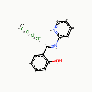 Oc1ccccc1C=Nc1ccccn1.[Cl-].[Cl-].[Cl-].[Cl-].[Ti+4]